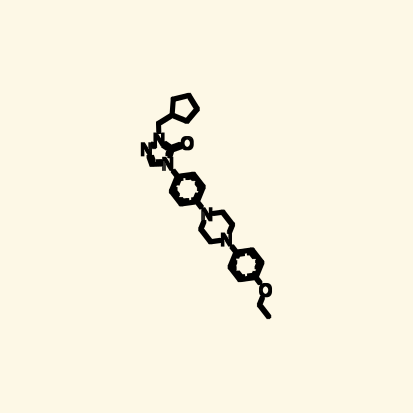 CCOc1ccc(N2CCN(c3ccc(-n4cnn(CC5CCCC5)c4=O)cc3)CC2)cc1